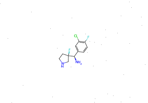 N[C@H](c1ccc(F)c(Cl)c1)[C@@]1(F)CCNC1